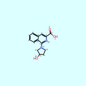 O=C(O)c1cc2ccccc2c(N2CCC(O)C2)n1